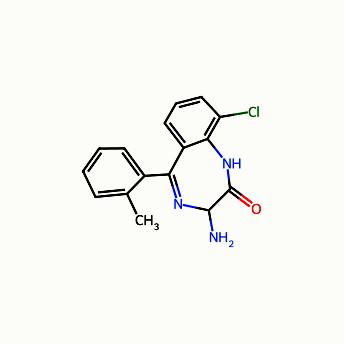 Cc1ccccc1C1=NC(N)C(=O)Nc2c(Cl)cccc21